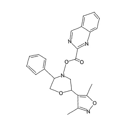 Cc1noc(C)c1C1CN(OC(=O)c2ncc3ccccc3n2)C(c2ccccc2)CO1